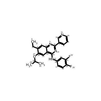 CCc1cc2nc(-c3cccnc3)nc(Nc3ccc(F)c(F)c3)c2cc1OC(C)C